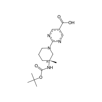 CC(C)(C)OC(=O)N[C@]1(C)CCCN(c2ncc(C(=O)O)cn2)C1